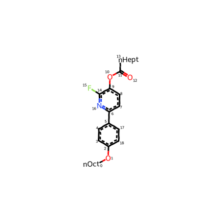 CCCCCCCCOc1ccc(-c2ccc(OC(=O)CCCCCCC)c(F)n2)cc1